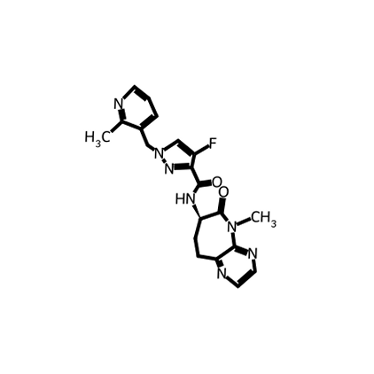 Cc1ncccc1Cn1cc(F)c(C(=O)N[C@@H]2CCc3nccnc3N(C)C2=O)n1